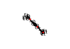 CCO[Si](CCCSCCC(=O)Oc1ccc(OC(=O)CCSCCC[Si](OCC)(OCC)OCC)cc1)(OCC)OCC